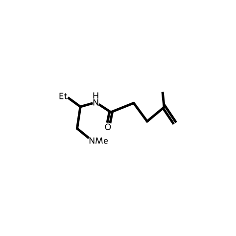 C=C(C)CCC(=O)NC(CC)CNC